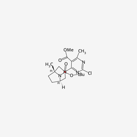 COC(=O)c1c(C)nc(Cl)nc1N1C[C@H]2CC[C@](C)(C1)N2C(=O)OC(C)(C)C